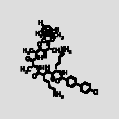 C[C@H](NC(=O)[C@H](C)NC(=O)[C@H](C)NC(=O)[C@H](CCCCN)NC(=O)[C@H](CCCCN)NC(=O)c1ccc(-c2ccc(Cl)cc2)cc1)B1OC2C[C@@H]3C[C@@H](C3(C)C)[C@]2(C)O1